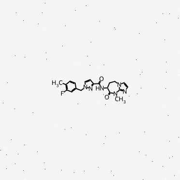 Cc1ccc(Cn2ccc(C(=O)NC3CCn4ccnc4N(C)C3=O)n2)cc1F